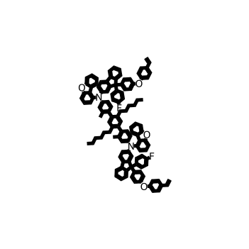 C=Cc1ccc(Oc2ccc(C3(c4ccc(F)cc4)c4ccccc4-c4ccc(N(c5ccc(-c6cc(CCCCCC)c(-c7ccc(N(c8ccc9c(c8)C(c8ccc(F)cc8)(c8ccc(Oc%10ccc(C=C)cc%10)cc8)c8ccccc8-9)c8cccc9oc%10ccccc%10c89)cc7C)cc6CCCCCC)c(C)c5)c5cccc6oc7ccccc7c56)cc43)cc2)cc1